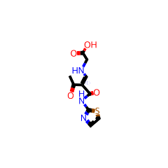 CC(=O)/C(=C\NCC(=O)O)C(=O)Nc1nccs1